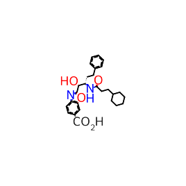 O=C(CCC1CCCCC1)N[C@@H](CCc1ccccc1)C(O)c1nc2ccc(C(=O)O)cc2o1